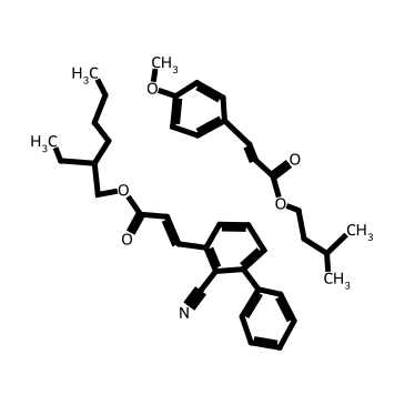 CCCCC(CC)COC(=O)C=Cc1cccc(-c2ccccc2)c1C#N.COc1ccc(C=CC(=O)OCCC(C)C)cc1